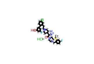 CCSc1cc(F)ccc1CN1CCN(C(=O)[C@H](N)C2CCN(CCc3cc(Cl)ccc3-c3cc(O)cc(F)c3)CC2)CC1.Cl